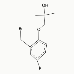 CC(C)(O)COc1ccc(F)cc1CBr